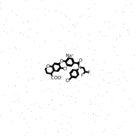 O=C([O-])C1CCOc2cc(Oc3ccc(C(=O)N(CC(F)F)c4ccc(Cl)cc4)cc3)c(Cl)cc21.[Na+]